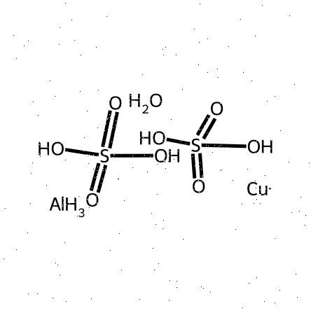 O.O=S(=O)(O)O.O=S(=O)(O)O.[AlH3].[Cu]